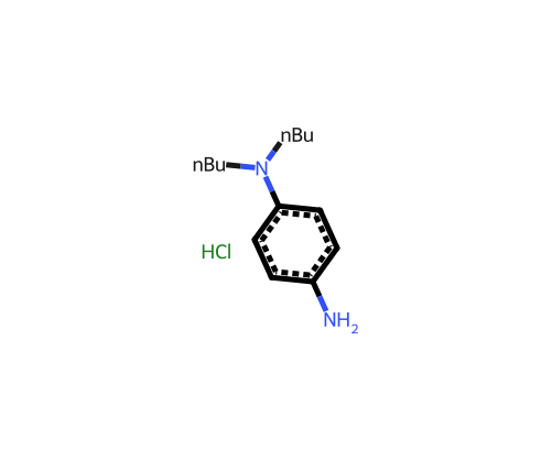 CCCCN(CCCC)c1ccc(N)cc1.Cl